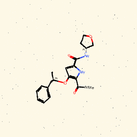 CNC(=O)c1[nH]c(C(=O)N[C@@H]2CCOC2)cc1O[C@H](C)c1ccccc1